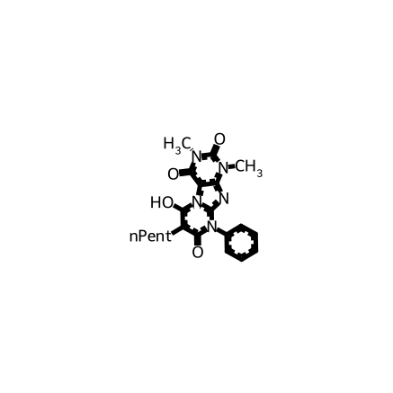 CCCCCc1c(O)n2c3c(=O)n(C)c(=O)n(C)c3nc2n(-c2ccccc2)c1=O